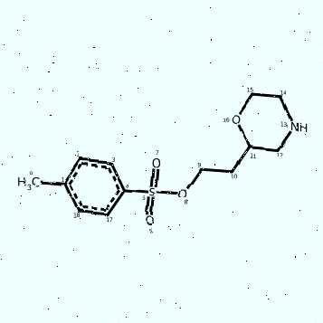 Cc1ccc(S(=O)(=O)OCCC2CNCCO2)cc1